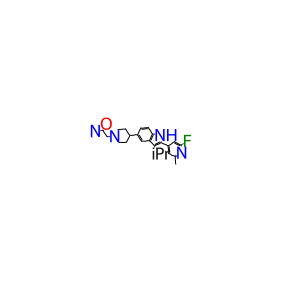 Cc1cc(-c2[nH]c3ccc(C4CCN(CC(=O)N(C)C)CC4)cc3c2C(C)C)cc(F)n1